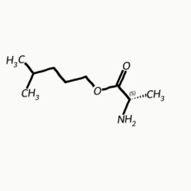 CC(C)CCCOC(=O)[C@H](C)N